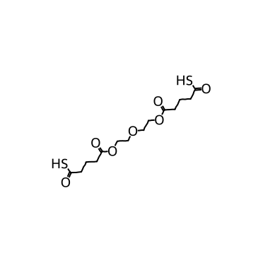 O=C(S)CCCC(=O)OCCOCCOC(=O)CCCC(=O)S